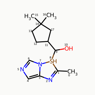 CC1=Nc2cncn2[SH]1C(O)C1CCC(C)(C)C1